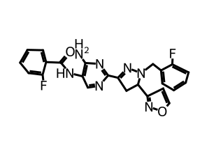 Nc1nc(C2=NN(Cc3ccccc3F)C(c3ccon3)C2)ncc1NC(=O)c1ccccc1F